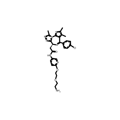 Cc1sc2c(c1C)C(c1ccc(Cl)cc1)=N[C@@H](CC(=O)Nc1ccc(OCCOCCN)nc1)c1nnc(C)n1-2